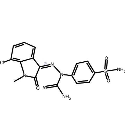 CN1C(=O)/C(=N\N(C(N)=S)c2ccc(S(N)(=O)=O)cc2)c2cccc(Cl)c21